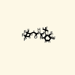 CC(C)(C)n1c(NC(=O)CC2CC(F)(F)C2(C)F)nc2ccc(F)c(F)c21